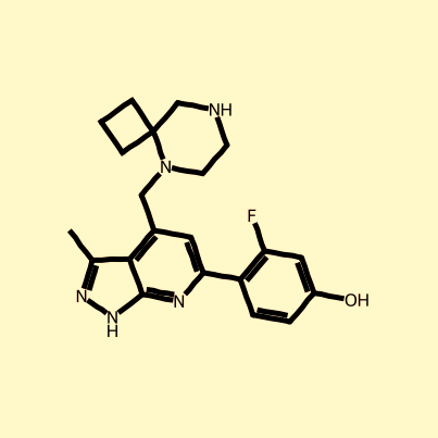 Cc1n[nH]c2nc(-c3ccc(O)cc3F)cc(CN3CCNCC34CCC4)c12